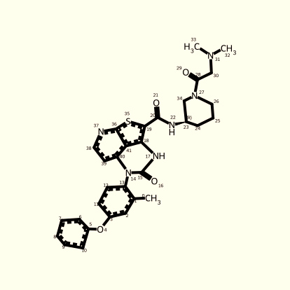 Cc1cc(Oc2ccccc2)ccc1N1C(=O)Nc2c(C(=O)N[C@@H]3CCCN(C(=O)CN(C)C)C3)sc3nccc1c23